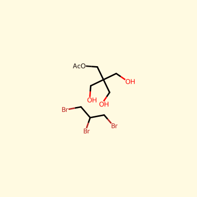 BrCC(Br)CBr.CC(=O)OCC(CO)(CO)CO